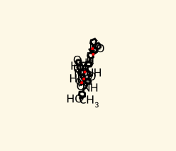 CC1(O)CCC(CNc2ccc(S(=O)(=O)NC(=O)c3ccc(N4CCC5(CC4)CC(N4CCCC[C@]46CCOc4ccccc46)C5)cc3N3c4cc5cc[nH]c5nc4O[C@@H]4COC[C@H]43)cc2[N+](=O)[O-])CC1